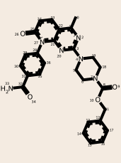 Cc1nc(N2CCN(C(=O)OCc3ccccc3)CC2)nc2c1ccc(=O)n2-c1ccc(C(N)=O)cc1